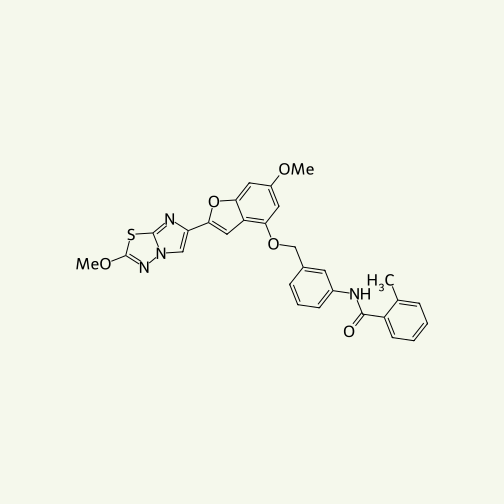 COc1cc(OCc2cccc(NC(=O)c3ccccc3C)c2)c2cc(-c3cn4nc(OC)sc4n3)oc2c1